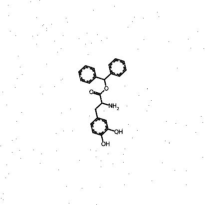 NC(Cc1ccc(O)c(O)c1)C(=O)OC(c1ccccc1)c1ccccc1